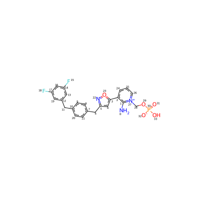 Nc1c(-c2cc(Cc3ccc(Cc4cc(F)cc(F)c4)cc3)no2)ccc[n+]1COP(=O)([O-])O